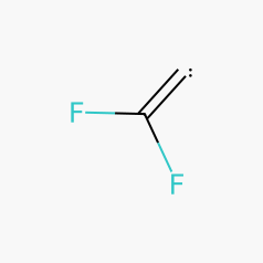 [C]=C(F)F